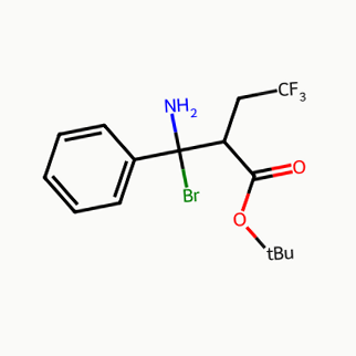 CC(C)(C)OC(=O)C(CC(F)(F)F)C(N)(Br)c1ccccc1